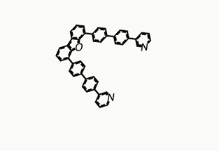 c1cncc(-c2ccc(-c3ccc(-c4cccc5c4oc4c(-c6ccc(-c7ccc(-c8cccnc8)cc7)cc6)cccc45)cc3)cc2)c1